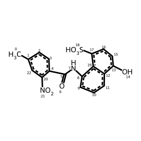 Cc1ccc(C(=O)Nc2cccc3c(O)ccc(S(=O)(=O)O)c23)c([N+](=O)[O-])c1